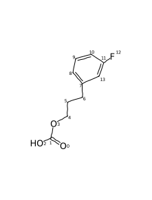 O=C(O)OCCCc1cccc(F)c1